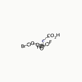 O=C(O)CCC/C=C\C[C@H]1[C@H](COCCOc2ccc(Br)cc2)[C@@H]2C[C@@]1(c1ccc(F)cc1)CO2